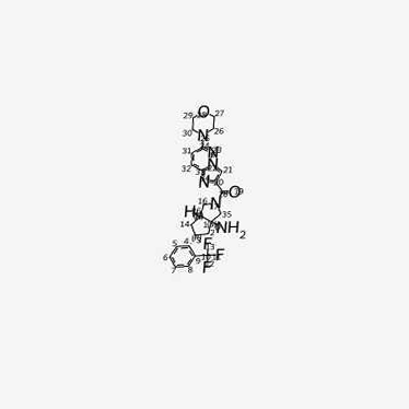 N[C@@]12C[C@H](c3ccccc3C(F)(F)F)C[C@@H]1CN(C(=O)c1cn3nc(N4CCOCC4)ccc3n1)C2